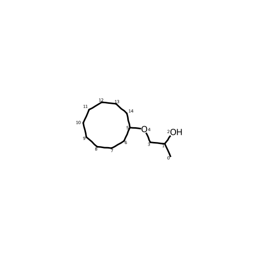 CC(O)COC1CCCCCCCCC1